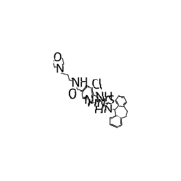 O=C(NCCCN1CCOCC1)c1cnc(NNC(=S)NC2c3ccccc3CCc3ccccc32)c(Cl)c1